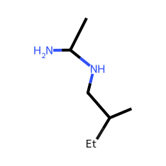 CCC(C)CNC(C)N